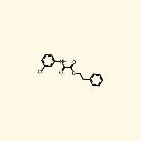 O=C(Nc1cccc(Cl)c1)C(=O)OCCc1ccccc1